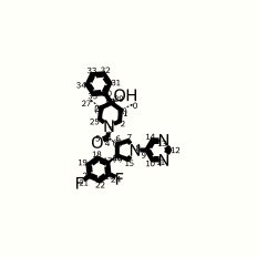 C[C@@H]1CN(C(=O)[C@@H]2CN(c3cncnc3)C[C@H]2c2ccc(F)cc2F)C[C@H](C)[C@@]1(O)c1ccccc1